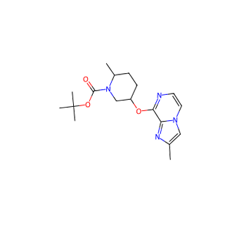 Cc1cn2ccnc(OC3CCC(C)N(C(=O)OC(C)(C)C)C3)c2n1